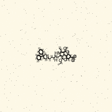 CCOC(=O)C1=C(CNCCCN2CCC(c3ccccc3)(c3ccccc3)CC2)NC(CC)=C(C(=O)OC)C1c1ccc([N+](=O)[O-])cc1